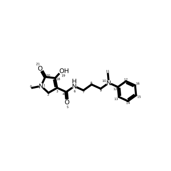 CN1CC(C(=O)NCCCN(C)c2ccccc2)=C(O)C1=O